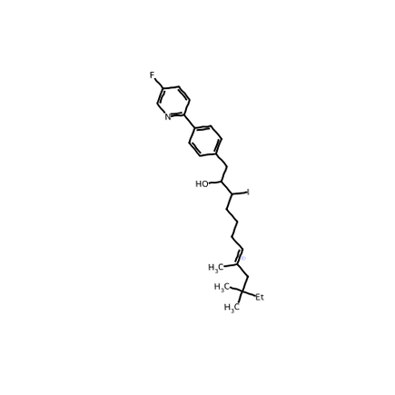 CCC(C)(C)C/C(C)=C/CCCC(I)C(O)Cc1ccc(-c2ccc(F)cn2)cc1